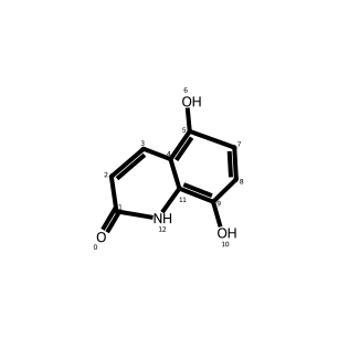 O=c1ccc2c(O)ccc(O)c2[nH]1